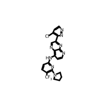 FC(F)(F)c1ccc(Nc2ccnc3nc(-c4nnccc4Cl)cnc23)nc1N1CCCC1